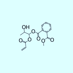 C=CC(=O)OC(OC(=O)c1ccccc1C(=O)OC)C(C)O